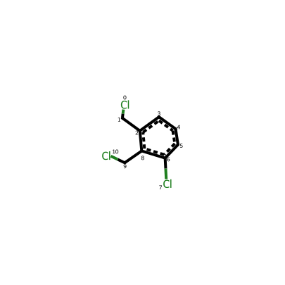 ClCc1cccc(Cl)c1CCl